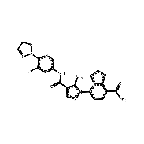 NC(=O)c1ccc(-n2ncc(C(=O)Nc3cnc(N4N=CCN4)c(Cl)c3)c2C(F)(F)F)n2ccnc12